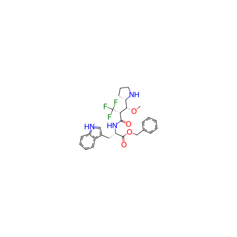 CO[C@@H]([C@@H]1CCCN1)[C@H](C(=O)N[C@@H](Cc1c[nH]c2ccccc12)C(=O)OCc1ccccc1)C(F)(F)F